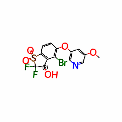 COc1cncc(Oc2ccc3c(c2Br)[C@@H](O)C(F)(F)S3(=O)=O)c1